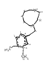 Cc1ccc(CN2CCC[N]CC2)cc1C